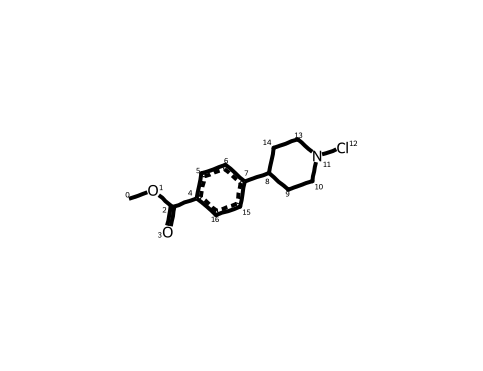 COC(=O)c1ccc(C2CCN(Cl)CC2)cc1